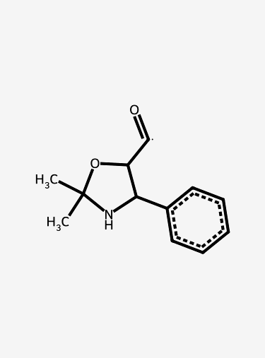 CC1(C)NC(c2ccccc2)C([C]=O)O1